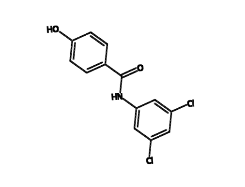 O=C(Nc1cc(Cl)cc(Cl)c1)c1ccc(O)cc1